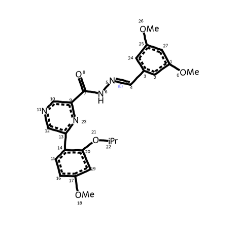 COc1cc(/C=N/NC(=O)c2cncc(-c3ccc(OC)cc3OC(C)C)n2)cc(OC)c1